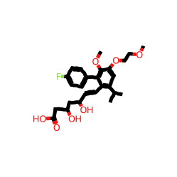 COCCOc1cc(C(C)C)c(/C=C/C(O)CC(O)CC(=O)O)c(-c2ccc(F)cc2)c1OC